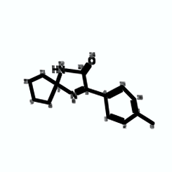 Cc1ccc(C2=NC3(CCCC3)NC2=O)cc1